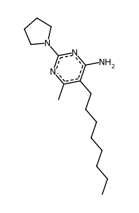 CCCCCCCCc1c(C)nc(N2CCCC2)nc1N